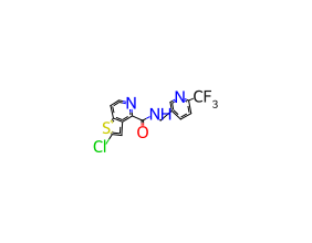 O=C(NCc1ccc(C(F)(F)F)nc1)c1nccc2sc(Cl)cc12